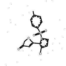 Cc1ccc(S(=O)(=O)n2ccc(Cl)c2C2=CC(=O)CO2)cc1